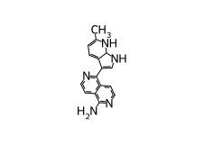 CC1=CC=C2C(c3nccc4c(N)nccc34)=CNC2N1